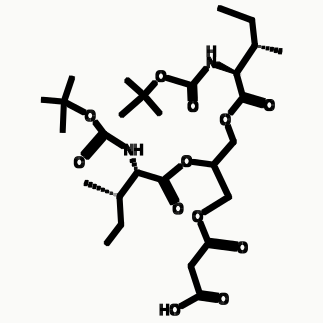 CC[C@H](C)[C@H](NC(=O)OC(C)(C)C)C(=O)OCC(COC(=O)CC(=O)O)OC(=O)[C@@H](NC(=O)OC(C)(C)C)[C@@H](C)CC